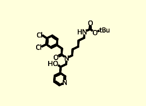 CC(C)(C)OC(=O)NCCCCCN(CC(O)c1cccnc1)C(=O)Cc1ccc(Cl)c(Cl)c1